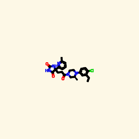 CCc1cc(N2CCN(C(=O)CCC3(c4cccc(C)n4)NC(=O)NC3=O)C[C@@H]2C)ccc1Cl